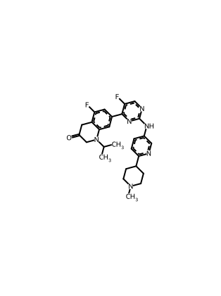 CC(C)N1CC(=O)Cc2c(F)cc(-c3nc(Nc4ccc(C5CCN(C)CC5)nc4)ncc3F)cc21